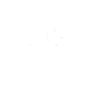 CN1NNC=C1CO